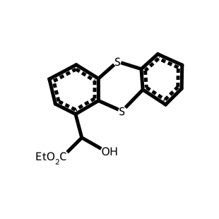 CCOC(=O)C(O)c1cccc2c1Sc1ccccc1S2